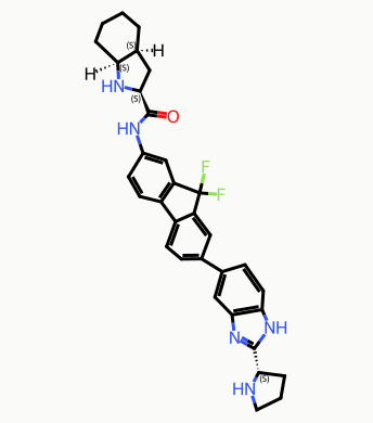 O=C(Nc1ccc2c(c1)C(F)(F)c1cc(-c3ccc4[nH]c([C@@H]5CCCN5)nc4c3)ccc1-2)[C@@H]1C[C@@H]2CCCC[C@@H]2N1